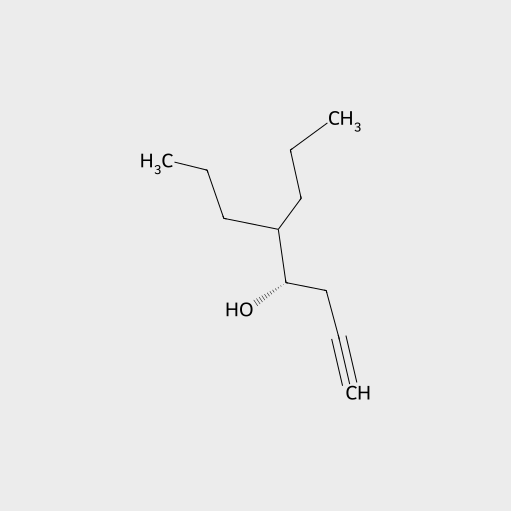 C#CC[C@H](O)C(CCC)CCC